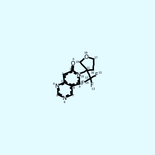 O=c1cc2ncncc2cn1C1(C(F)(F)F)CCOC1